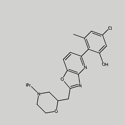 Cc1cc(Cl)cc(O)c1-c1ccc2oc(CC3CN(C(C)C)CCO3)nc2n1